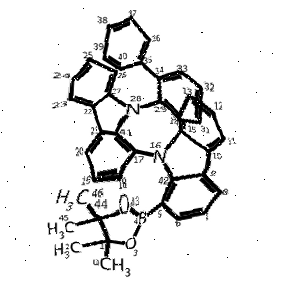 CC1(C)OB(c2cccc3c4ccccc4n(-c4cccc5c6ccccc6n(-c6ccccc6-c6ccccc6)c45)c23)OC1(C)C